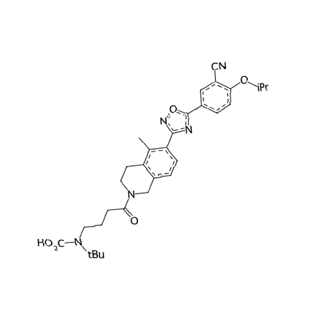 Cc1c(-c2noc(-c3ccc(OC(C)C)c(C#N)c3)n2)ccc2c1CCN(C(=O)CCCN(C(=O)O)C(C)(C)C)C2